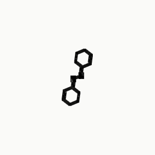 C1=CC(=NN=C2C=CCCC2)CCC1